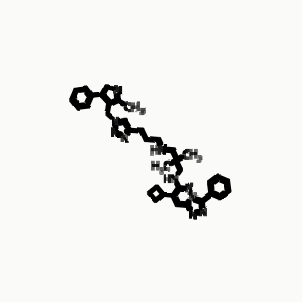 CC1=NCC(c2ccccc2)=C1Cn1cc(CCCNCC(C)(C)CNc2nn3c(-c4ccccc4)nnc3cc2C2CCC2)nn1